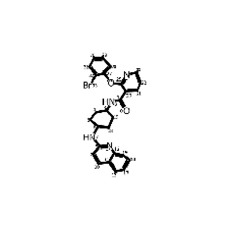 O=C(NC1CCC(Nc2ccc3ccccc3n2)CC1)c1cccnc1Oc1ccccc1Br